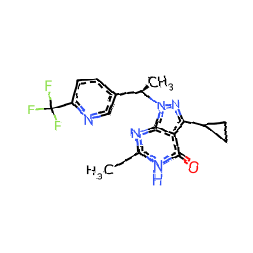 Cc1nc2c(c(C3CC3)nn2[C@H](C)c2ccc(C(F)(F)F)nc2)c(=O)[nH]1